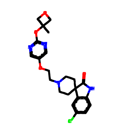 CC1(Oc2ncc(OCCN3CCC4(CC3)C(=O)Nc3ccc(Cl)cc34)cn2)COC1